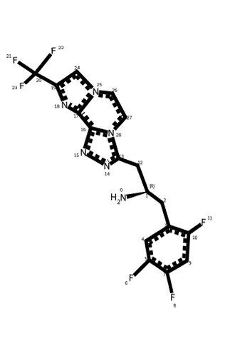 N[C@H](Cc1cc(F)c(F)cc1F)Cc1nnc2c3nc(C(F)(F)F)cn3ccn12